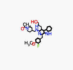 COc1ccc(Cc2nc(NCC3CCN(C(C)=O)CC3)c(CCCO)c3c2[nH]c2ccccc23)cc1F